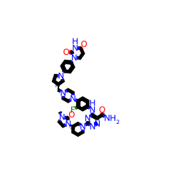 CN1CCN([C@@H]2CCCN(c3nnc(C(N)=O)c(Nc4ccc(N5CCN(C[C@H]6CCN(c7ccc(N8CCC(=O)NC8=O)cc7)C6)CC5)c(F)c4)n3)C2)C1=O